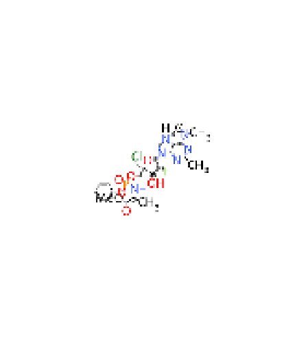 COC(=O)[C@H](C)NP(=O)(OC[C@@]1(CCl)O[C@@H](n2cnc3c(N(C)C)nc(C)nc32)[C@H](F)[C@@H]1O)Oc1ccccc1